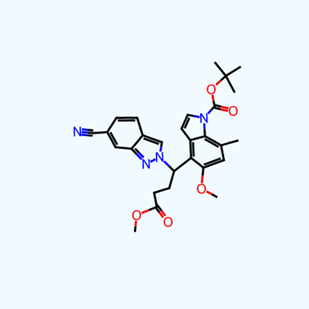 COC(=O)CCC(c1c(OC)cc(C)c2c1ccn2C(=O)OC(C)(C)C)n1cc2ccc(C#N)cc2n1